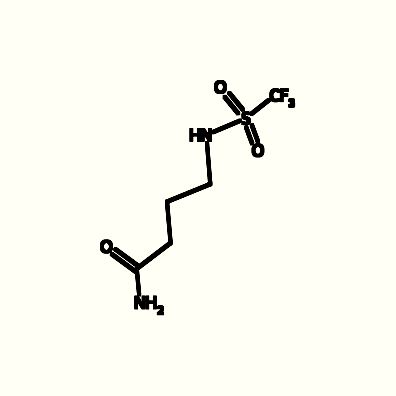 NC(=O)CCCNS(=O)(=O)C(F)(F)F